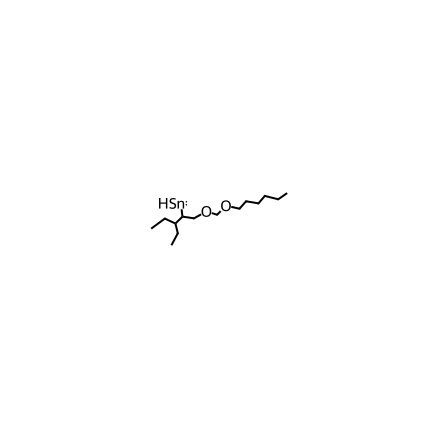 CCCCCCOCOC[CH]([SnH])C(CC)CC